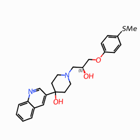 CSc1ccc(OC[C@@H](O)CN2CCC(O)(c3cnc4ccccc4c3)CC2)cc1